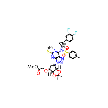 CCCSc1nc(N([C@@H]2C[C@H]2c2ccc(F)c(F)c2)S(=O)(=O)c2ccc(C)cc2)c2nnn([C@@H]3C[C@H](OCC(=O)OC)[C@H]4OC(C)(C)O[C@H]43)c2n1